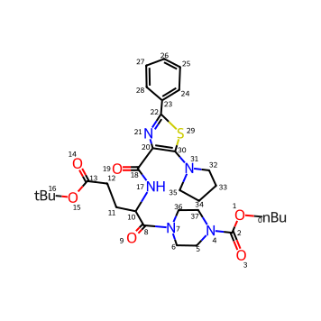 CCCCOC(=O)N1CCN(C(=O)C(CCC(=O)OC(C)(C)C)NC(=O)c2nc(-c3ccccc3)sc2N2CCCC2)CC1